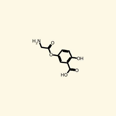 NCC(=O)Oc1ccc(O)c(C(=O)O)c1